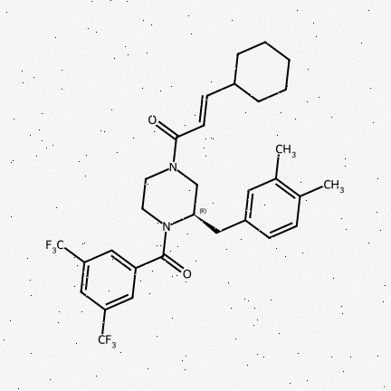 Cc1ccc(C[C@@H]2CN(C(=O)C=CC3CCCCC3)CCN2C(=O)c2cc(C(F)(F)F)cc(C(F)(F)F)c2)cc1C